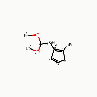 CCCC1=C([SiH2]C(OCC)OCC)C=CC1